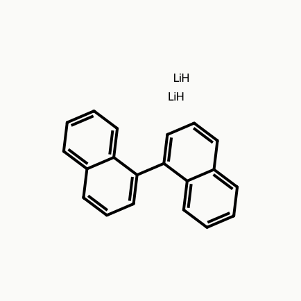 [LiH].[LiH].c1ccc2c(-c3cccc4ccccc34)cccc2c1